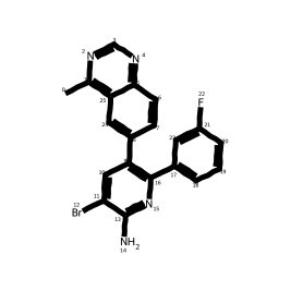 Cc1ncnc2ccc(-c3cc(Br)c(N)nc3-c3cccc(F)c3)cc12